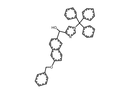 OC(c1ccc2cc(OCc3ccccc3)ccc2c1)c1cn(C(c2ccccc2)(c2ccccc2)c2ccccc2)cn1